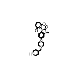 Cn1c(=O)n(N2C(=O)CCCC2=O)c2ccc(N3CCN(CC4CCNCC4)CC3)cc21